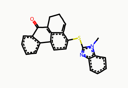 Cn1c(Sc2ccc3c4c2=CCCC=4C(=O)c2ccccc2-3)nc2ccccc21